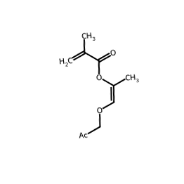 C=C(C)C(=O)O/C(C)=C\OCC(C)=O